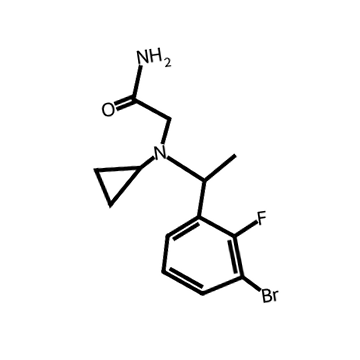 CC(c1cccc(Br)c1F)N(CC(N)=O)C1CC1